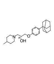 CC1CCN(C[C@@H](O)COc2ccc(C34CC5CC(CC(C5)C3)C4)cc2)CC1